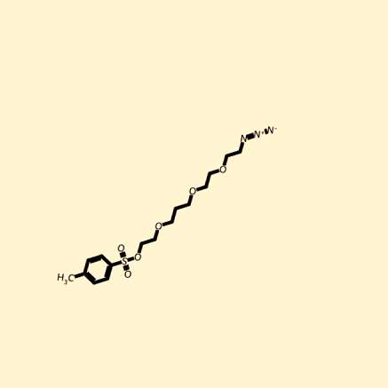 Cc1ccc(S(=O)(=O)OCCOCCCOCCOCCN=[N+]=[N-])cc1